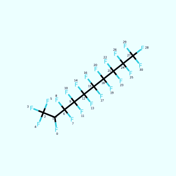 F[C](C(F)(F)F)C(F)(F)C(F)(F)C(F)(F)C(F)(F)C(F)(F)C(F)(F)C(F)(F)C(F)(F)F